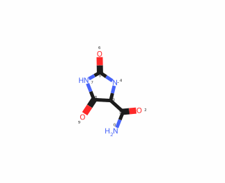 NC(=O)C1[N]C(=O)NC1=O